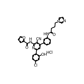 Cl.N#Cc1c(-c2cccc(NC(=O)CCCn3ccnc3)c2)cc(-c2ccc(Cl)cc2O)nc1NC(=O)c1ccco1